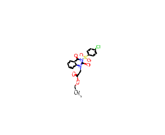 CCOC(=O)Cn1c(=O)n(S(=O)(=O)c2ccc(Cl)cc2)c(=O)c2ccccc21